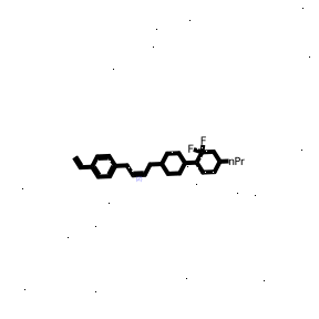 C=Cc1ccc(C/C=C\CC2CCC(C3CCC(CCC)CC3(F)F)CC2)cc1